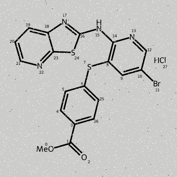 COC(=O)c1ccc(Sc2cc(Br)cnc2Nc2nc3cccnc3s2)cc1.Cl